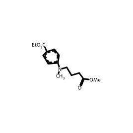 CCOC(=O)c1ccc(N(C)CCCC(=O)OC)cc1